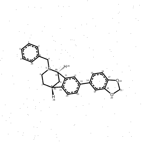 c1ccc(CN2CC[C@@H]3C[C@@H]2c2cc(-c4ccc5c(c4)OCO5)ccc23)cc1